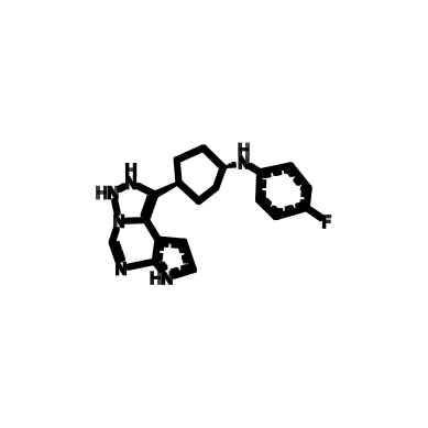 Fc1ccc(N[C@H]2CC[C@H](C3=C4c5cc[nH]c5N=CN4NN3)CC2)cc1